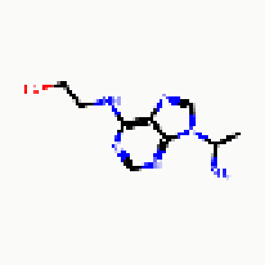 CC(N)n1cnc2c(NCCO)ncnc21